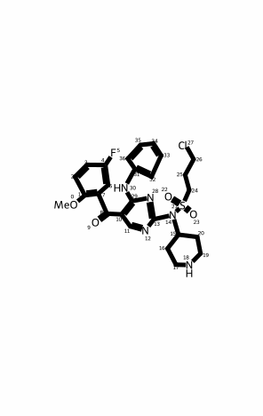 COc1ccc(F)cc1C(=O)c1cnc(N(C2CCNCC2)S(=O)(=O)CCCCl)nc1Nc1ccccc1